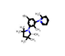 Cc1c(N2[C@H](C)C(C)(C)CC2(C)C)cc(C(C)(C)C)cc1-[n+]1ccccc1C